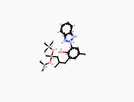 Cc1cc(CC(C)C[Si](C)(O[SiH](C)C)O[Si](C)(C)C)c(O)c(-n2nc3ccccc3n2)c1